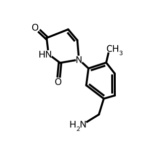 Cc1ccc(CN)cc1-n1ccc(=O)[nH]c1=O